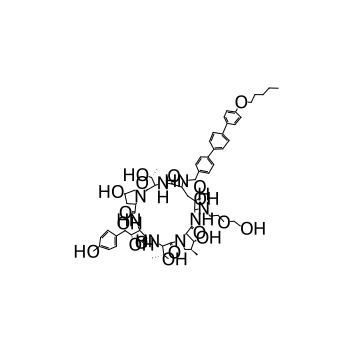 CCCCCOc1ccc(-c2ccc(-c3ccc(C(=O)NC4C[C@@H](O)C(NCCOCCO)NC(=O)C5[C@@H](O)[C@@H](C)CN5C(=O)C([C@@H](C)O)NC(=O)C([C@H](O)[C@@H](O)c5ccc(O)cc5)NC(=O)C5C[C@@H](O)CN5C(=O)C([C@@H](C)O)NC4=O)cc3)cc2)cc1